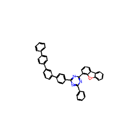 c1ccc(-c2ccc(-c3cccc(-c4ccc(-c5nc(-c6ccccc6)nc(-c6cccc7c6oc6ccccc67)n5)cc4)c3)cc2)cc1